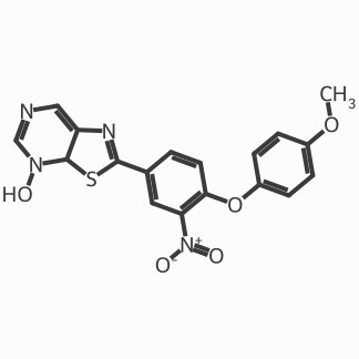 COc1ccc(Oc2ccc(C3=NC4=CN=CN(O)C4S3)cc2[N+](=O)[O-])cc1